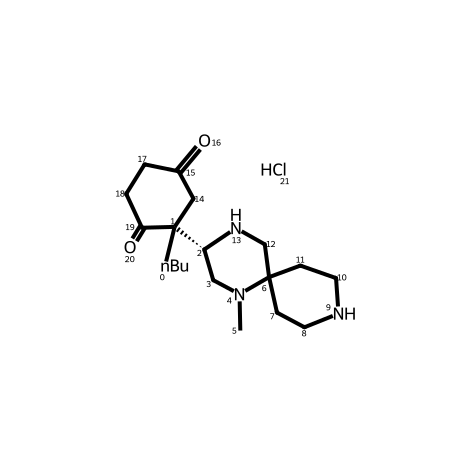 CCCCC1([C@H]2CN(C)C3(CCNCC3)CN2)CC(=O)CCC1=O.Cl